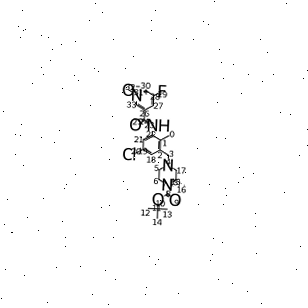 Cc1c(CN2CCN(C(=O)OC(C)(C)C)[C@@H](C)C2)cc(Cl)cc1NC(=O)c1cc(F)c[n+]([O-])c1